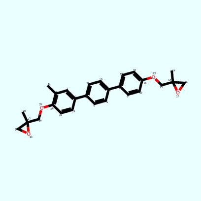 Cc1cc(-c2ccc(-c3ccc(OCC4(C)CO4)cc3)cc2)ccc1OCC1(C)CO1